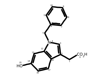 O=C(O)Cc1cn(Cc2ccccc2)c2cc(O)ccc12